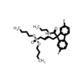 CCCCOP(=O)(CC=CCC1(C(=O)NCCC)c2cc(F)ccc2-c2ccc(F)cc21)OCCCC